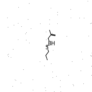 C=C(C)CBSCCC